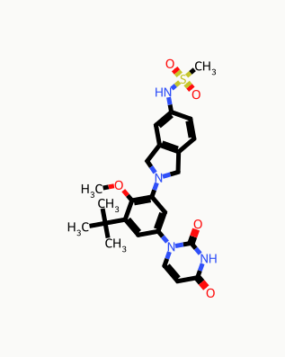 COc1c(N2Cc3ccc(NS(C)(=O)=O)cc3C2)cc(-n2ccc(=O)[nH]c2=O)cc1C(C)(C)C